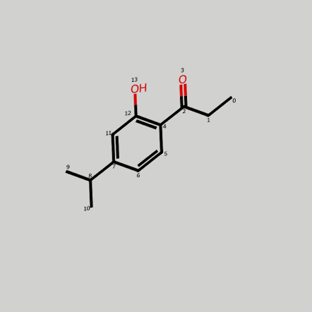 CCC(=O)c1ccc(C(C)C)cc1O